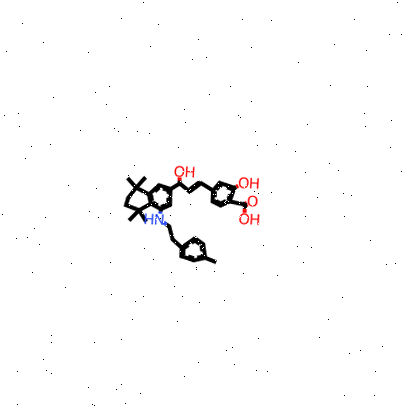 Cc1ccc(CCNc2cc(C(O)C=Cc3ccc(C(=O)O)c(O)c3)cc3c2C(C)(C)CCC3(C)C)cc1